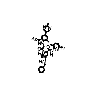 CC(=O)c1nn(CC(=O)N2[C@H](C(=O)Nc3nc(Br)ccc3C)C[C@@]3(CNCc4ccccc4)C[C@@H]23)c2c(C)cc(-c3cnc(C)nc3)cc12